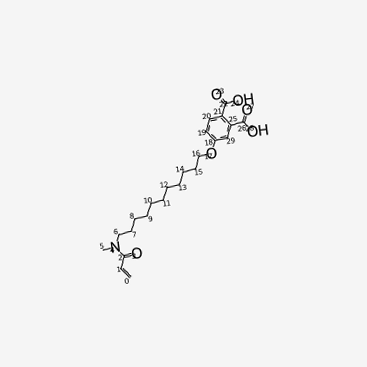 C=CC(=O)N(C)CCCCCCCCCCCOc1ccc(C(=O)O)c(C(=O)O)c1